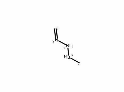 C=NNBC